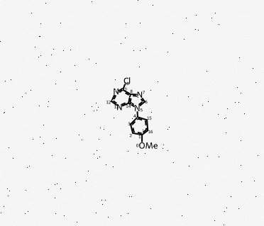 COc1ccc(-n2cnc3c(Cl)ncnc32)cc1